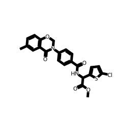 COC(=O)C(NC(=O)c1ccc(N2COc3ccc(C)cc3C2=O)cc1)c1ccc(Cl)s1